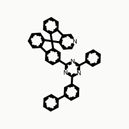 c1ccc(-c2cccc(-c3nc(-c4ccccc4)nc(-c4ccc5c(c4)C4(c6ccccc6-c6cnccc64)c4ccccc4-5)n3)c2)cc1